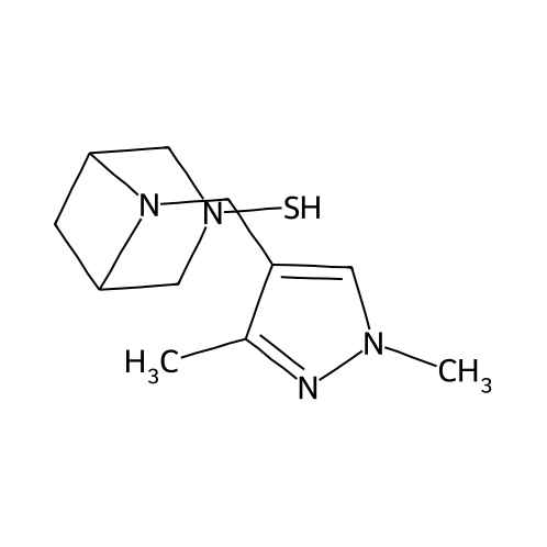 Cc1nn(C)cc1CN1C2CC1CN(S)C2